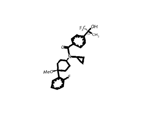 CO[C@]1(c2ccccc2F)CC[C@H](N(C(=O)c2ccc([C@](C)(O)C(F)(F)F)cc2)C2CC2)CC1